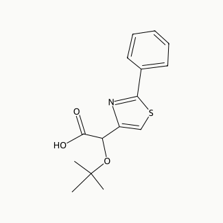 CC(C)(C)OC(C(=O)O)c1csc(-c2ccccc2)n1